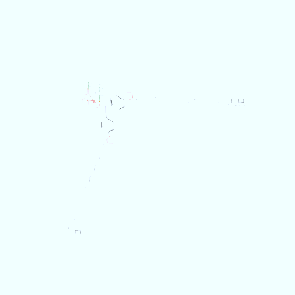 CCCCCCCCCCCCCCCCOc1ccc([I+]c2ccc(OCCCCCCCCCCCCCCCC)cc2)cc1.O=S(=O)([O-])C(F)(F)F